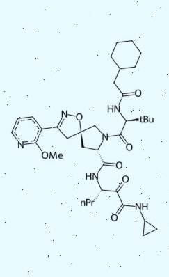 CCC[C@H](NC(=O)[C@@H]1C[C@]2(CC(c3cccnc3OC)=NO2)CN1C(=O)[C@@H](NC(=O)CC1CCCCC1)C(C)(C)C)C(=O)C(=O)NC1CC1